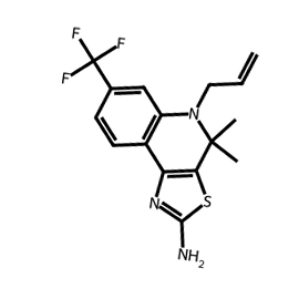 C=CCN1c2cc(C(F)(F)F)ccc2-c2nc(N)sc2C1(C)C